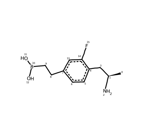 C[C@@H](N)Cc1ccc(CCB(O)O)cc1F